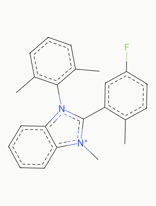 Cc1ccc(F)cc1-c1n(-c2c(C)cccc2C)c2ccccc2[n+]1C